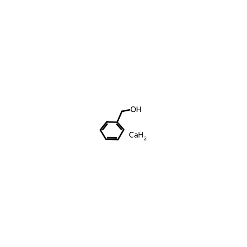 OCc1ccccc1.[CaH2]